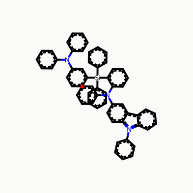 c1ccc(N(c2ccccc2)c2cccc([Si](c3ccccc3)(c3ccccc3)c3ccccc3N(c3ccccc3)c3ccc4c(c3)c3ccccc3n4-c3ccccc3)c2)cc1